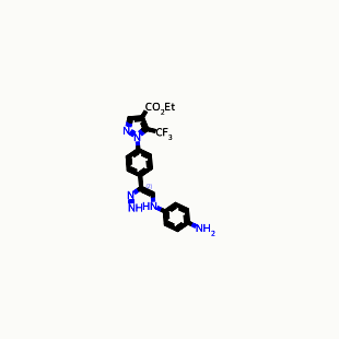 CCOC(=O)c1cnn(-c2ccc(/C(=C/Nc3ccc(N)cc3)N=N)cc2)c1C(F)(F)F